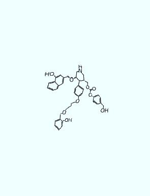 O=C(OCC1CNCC(OCc2cc(O)c3ccccc3c2)C1c1ccc(OCCCOCc2ccccc2O)cc1)Oc1ccc(CO)cc1